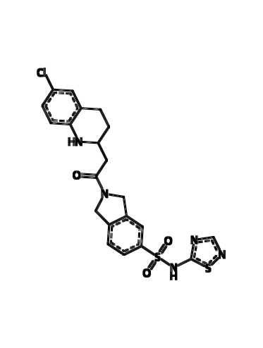 O=C(CC1CCc2cc(Cl)ccc2N1)N1Cc2ccc(S(=O)(=O)Nc3ncns3)cc2C1